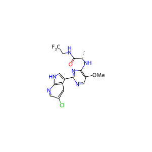 COc1cnc(-c2c[nH]c3ncc(Cl)cc23)nc1N[C@@H](C)C(=O)NCC(F)(F)F